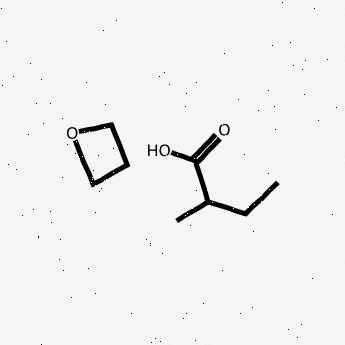 C1COC1.CCC(C)C(=O)O